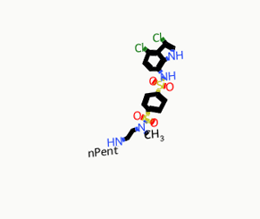 CCCCCNCCN(C)S(=O)(=O)c1ccc(S(=O)(=O)Nc2ccc(Cl)c3c(Cl)c[nH]c23)cc1